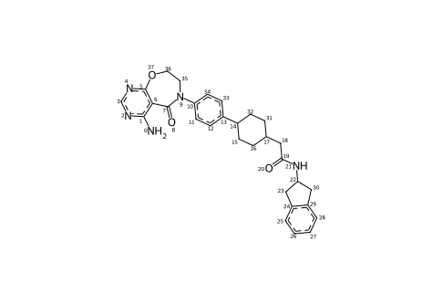 Nc1ncnc2c1C(=O)N(c1ccc(C3CCC(CC(=O)NC4Cc5ccccc5C4)CC3)cc1)CCO2